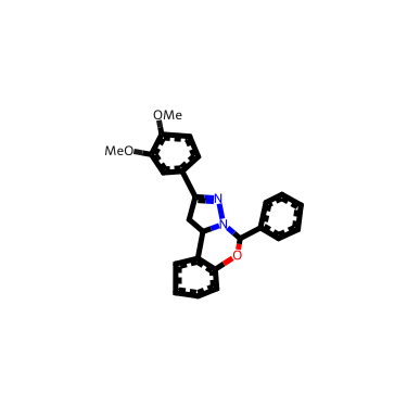 COc1ccc(C2=NN3C(C2)c2ccccc2OC3c2ccccc2)cc1OC